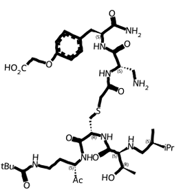 CC(=O)[C@H](CCNC(=O)C(C)(C)C)NC(=O)[C@H](CSCC(=O)N[C@@H](CN)C(=O)N[C@@H](Cc1ccc(OCC(=O)O)cc1)C(N)=O)NC(=O)[C@@H](NC[C@@H](C)C(C)C)[C@@H](C)O